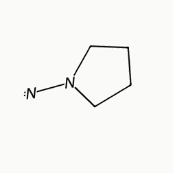 [N]N1CCCC1